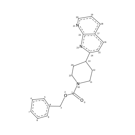 O=C(OCc1ccccc1)N1CCC(c2ccc3cccnc3n2)CC1